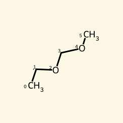 C[CH]OCOC